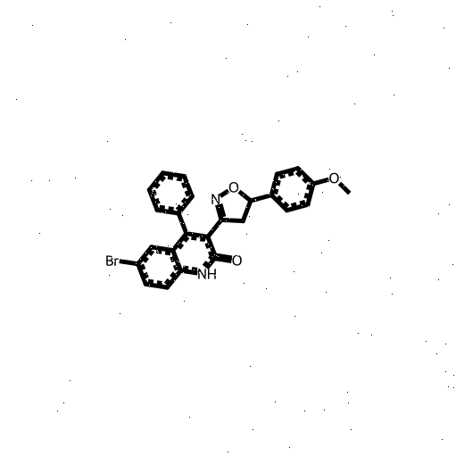 COc1ccc(C2CC(c3c(-c4ccccc4)c4cc(Br)ccc4[nH]c3=O)=NO2)cc1